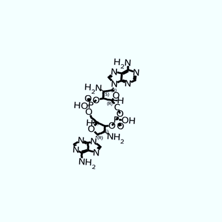 Nc1ncnc2c1ncn2[C@@H]1O[C@@H]2COP(=O)(O)OC3[C@@H](COP(=O)(O)OC2[C@@H]1N)O[C@@H](n1cnc2c(N)ncnc21)[C@H]3N